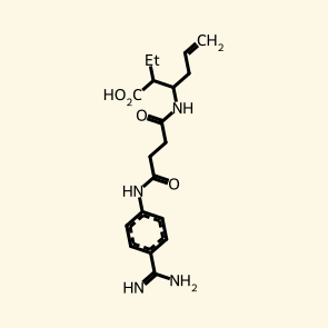 C=CCC(NC(=O)CCC(=O)Nc1ccc(C(=N)N)cc1)C(CC)C(=O)O